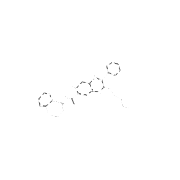 O=C(O)CCCCc1nc2cc(C(=O)N[C@@H]3CCOc4ccccc43)c(F)cc2nc1-c1ccccc1